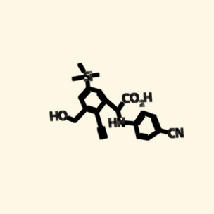 C#Cc1c(CO)cc([Si](C)(C)C)cc1C(Nc1ccc(C#N)cc1)C(=O)O